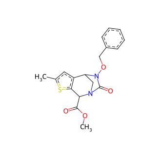 COC(=O)C1c2sc(C)cc2C2CN1C(=O)N2OCc1ccccc1